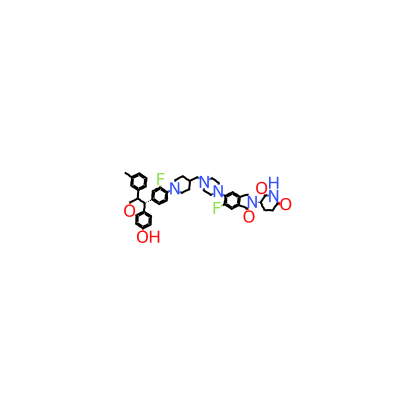 Cc1cccc(C2COc3cc(O)ccc3[C@H]2c2ccc(N3CCC(CN4CCN(c5cc6c(cc5F)C(=O)N([C@H]5CCC(=O)NC5=O)C6)CC4)CC3)c(F)c2)c1